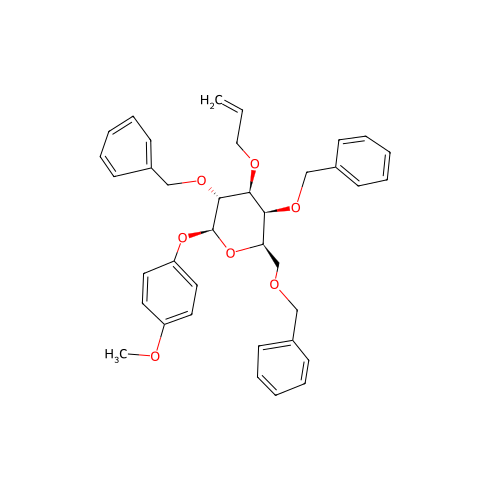 C=CCO[C@H]1[C@@H](OCc2ccccc2)[C@@H](COCc2ccccc2)O[C@@H](Oc2ccc(OC)cc2)[C@@H]1OCc1ccccc1